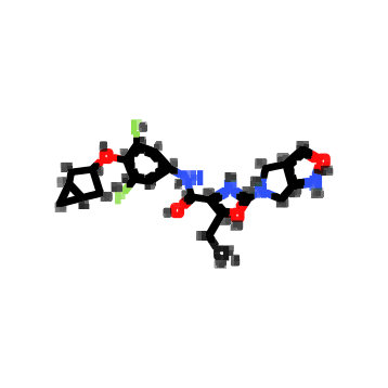 O=C(Nc1cc(F)c(OC2CC3CC3C2)c(F)c1)c1nc(N2Cc3conc3C2)oc1CC(F)(F)F